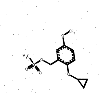 CS(=O)(=O)OCc1cc(OC(F)(F)F)ccc1OC1CC1